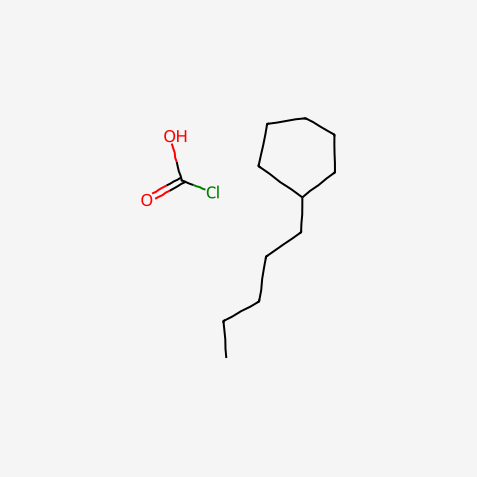 CCCCCC1CCCCC1.O=C(O)Cl